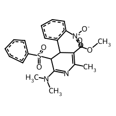 COC(=O)C1=C(C)N=C(N(C)C)C(S(=O)(=O)c2ccccc2)C1c1ccccc1[N+](=O)[O-]